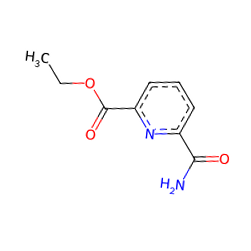 CCOC(=O)c1cccc(C(N)=O)n1